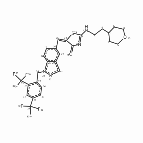 O=C1N=C(NCCC2CCOCC2)SC1=Cc1ccc2c(cnn2Cc2ccc(C(F)(F)F)cc2C(F)(F)F)c1